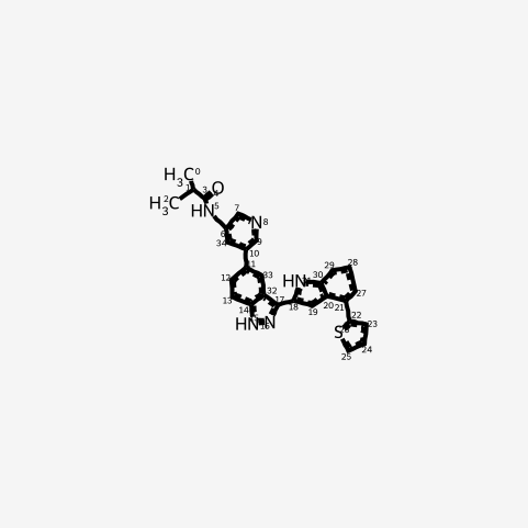 CC(C)C(=O)Nc1cncc(-c2ccc3[nH]nc(-c4cc5c(-c6cccs6)cccc5[nH]4)c3c2)c1